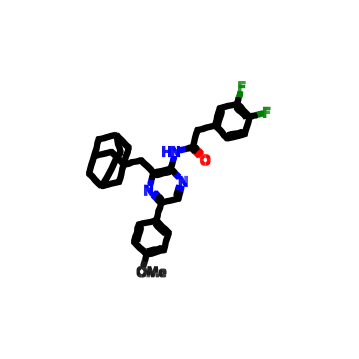 COc1ccc(-c2cnc(NC(=O)Cc3ccc(F)c(F)c3)c(CC34CC5CC(CC(C5)C3)C4)n2)cc1